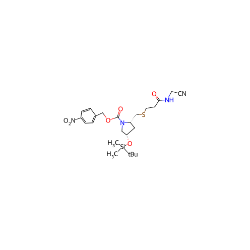 CC(C)(C)[Si](C)(C)O[C@H]1C[C@@H](CSCCC(=O)NCC#N)N(C(=O)OCc2ccc([N+](=O)[O-])cc2)C1